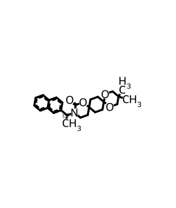 C[C@@H](c1ccc2ccccc2c1)N1CCC2(CCC3(CC2)OCC(C)(C)CO3)OC1=O